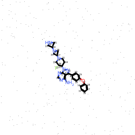 Nc1ncnc2c1c(-c1ccc(Oc3ccccc3)cc1)nn2[C@@H]1CCN(C2CN(C3CNC3)C2)C[C@H]1F